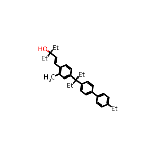 CCc1ccc(-c2ccc(C(CC)(CC)c3ccc(/C=C/C(O)(CC)CC)c(C)c3)cc2)cc1